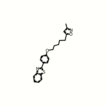 Cc1cc(CCCCCOc2ccc(-c3nc4ccccc4s3)cc2)on1